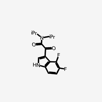 CC(C)N(C(=O)C(=O)c1c[nH]c2ccc(F)c(F)c12)C(C)C